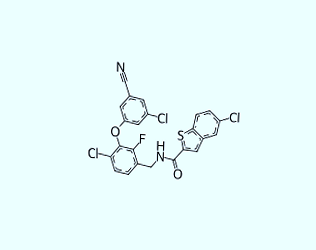 N#Cc1cc(Cl)cc(Oc2c(Cl)ccc(CNC(=O)c3cc4cc(Cl)ccc4s3)c2F)c1